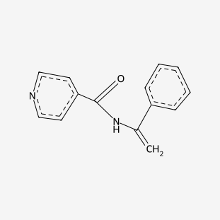 C=C(NC(=O)c1ccncc1)c1ccccc1